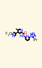 Cc1cnc(C(=O)Nc2cccc(-n3nnnc3C(C)C)n2)cc1-c1cnn(C(F)(F)F)c1